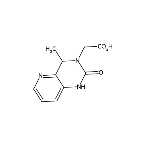 CC1c2ncccc2NC(=O)N1CC(=O)O